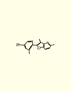 Cc1ccc2oc(-c3ccc(C(C)C)cc3C)c(C)c2n1